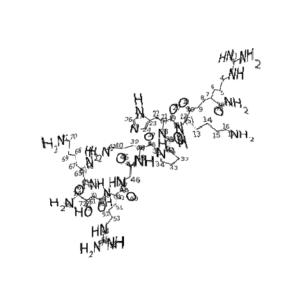 N=C(N)NCCCC(CCC(=O)[C@H](CCCCN)NC(=O)[C@H](Cc1cnc[nH]1)NC(=O)[C@@H]1CCCN1C(=O)[C@@H](CCCN)NC(=O)CNC(=O)[C@H](CCCNC(=N)N)NC(=O)[C@@H](NC(=O)[C@@H](N)CCCCN)[C@@H](O)CN)C(N)=O